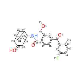 COCc1cc(C(=O)c2cc(F)ccc2C)ccc1C(=O)NC1C2CC3CC1CC(O)(C3)C2